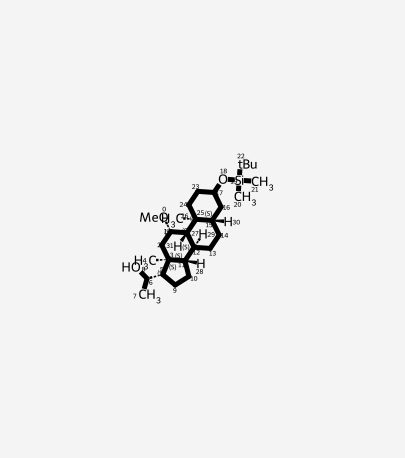 CO[C@H]1C[C@]2(C)[C@@H](C(C)O)CC[C@H]2[C@@H]2CC[C@H]3CC(O[Si](C)(C)C(C)(C)C)CC[C@]3(C)[C@H]21